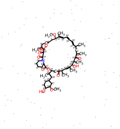 COC1CC2CCC(C)C(O)(O2)C(=O)C(=O)N2CCCCC2C(=O)OC(C(C)CC2CCC(O)C(OC)C2)CC(=O)C(C)/C=C(\C)C(O)C(C)C(=O)C(C)CC(C)/C=C/C=C/C=C/1C